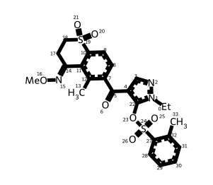 CCn1ncc(C(=O)c2ccc3c(c2C)/C(=N/OC)CCS3(=O)=O)c1OS(=O)(=O)c1ccccc1C